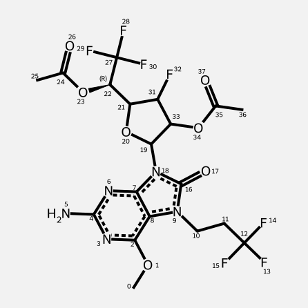 COc1nc(N)nc2c1n(CCC(F)(F)F)c(=O)n2C1OC([C@@H](OC(C)=O)C(F)(F)F)C(F)C1OC(C)=O